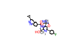 CC[C@]1(C(N)=O)COc2c1cc([C@@](O)(CNC(=O)c1ccc3nnc(C4CC4)cc3c1)C(F)(F)F)nc2-c1ccc(F)cc1